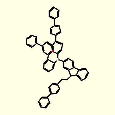 c1ccc(-c2ccc(CCC3c4ccccc4-c4ccc(N(c5ccc(-c6ccc(-c7ccccc7)cc6)cc5)c5ccccc5-c5cccc(-c6ccccc6)c5)cc43)cc2)cc1